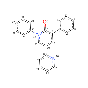 O=c1c(-c2ccccc2)cc(-c2ccccn2)cn1-c1ccccc1